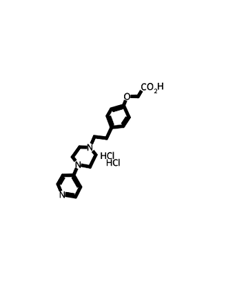 Cl.Cl.O=C(O)COc1ccc(CCN2CCN(c3ccncc3)CC2)cc1